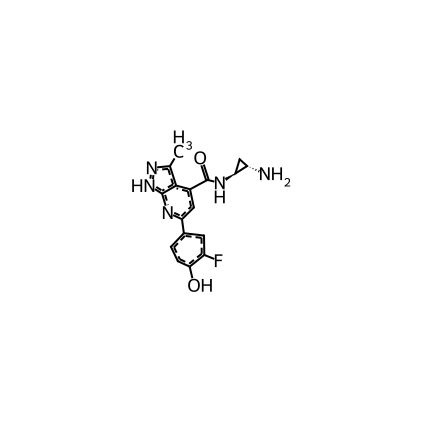 Cc1n[nH]c2nc(-c3ccc(O)c(F)c3)cc(C(=O)N[C@H]3C[C@@H]3N)c12